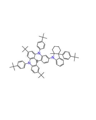 CC(C)(C)c1ccc(N2c3ccc(C(C)(C)C)cc3B3c4ccc(N5c6ccccc6C6(c7ccc(C(C)(C)C)cc7)CCCCC56C)cc4N(c4ccc(C(C)(C)C)cc4)c4cc(C(C)(C)C)cc2c43)cc1